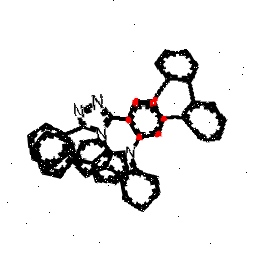 c1ccc(-c2ccccc2-n2c(-c3ccccc3)nnc2-c2ccc(-c3ccccc3-c3ccccc3-c3ccc(-n4c5ccccc5c5ccccc54)cc3)cc2)cc1